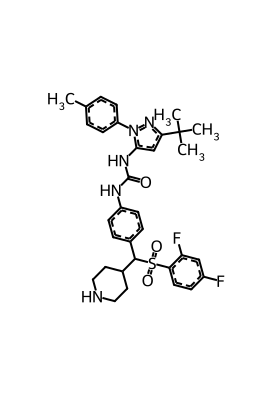 Cc1ccc(-n2nc(C(C)(C)C)cc2NC(=O)Nc2ccc(C(C3CCNCC3)S(=O)(=O)c3ccc(F)cc3F)cc2)cc1